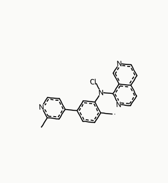 [CH2]c1ccc(-c2ccnc(C)c2)cc1N(Cl)c1nccc2ccncc12